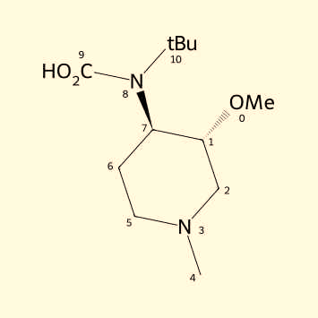 CO[C@@H]1CN(C)CC[C@H]1N(C(=O)O)C(C)(C)C